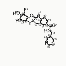 CN1C(=O)C(Cc2cc(F)c(O)c(F)c2)Cc2cc(C(=O)NCc3cncnc3)ccc21